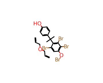 C=CCOCC=C.CC(C)(c1ccc(O)cc1)c1c(Br)cc(OBr)c(Br)c1Br